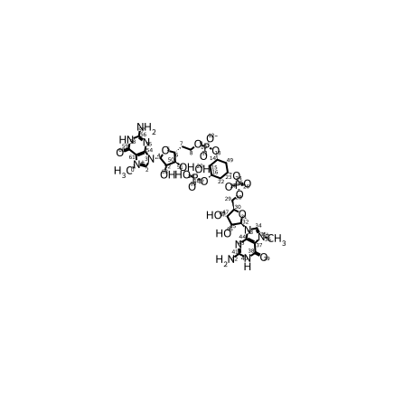 C[n+]1cn([C@@H]2O[C@H](CCOP(=O)([O-])O[C@H]3C[C@@H](OP(=O)(O)O)C[C@@H](OP(=O)([O-])OC[C@H]4O[C@@H](n5c[n+](C)c6c(=O)[nH]c(N)nc65)[C@H](O)[C@@H]4O)C3)[C@@H](O)[C@H]2O)c2nc(N)[nH]c(=O)c21